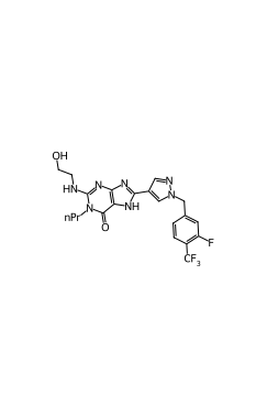 CCCn1c(NCCO)nc2nc(-c3cnn(Cc4ccc(C(F)(F)F)c(F)c4)c3)[nH]c2c1=O